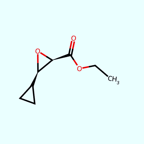 CCOC(=O)[C@@H]1O[C@@H]1C1CC1